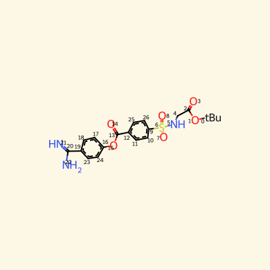 CC(C)(C)OC(=O)CNS(=O)(=O)c1ccc(C(=O)Oc2ccc(C(=N)N)cc2)cc1